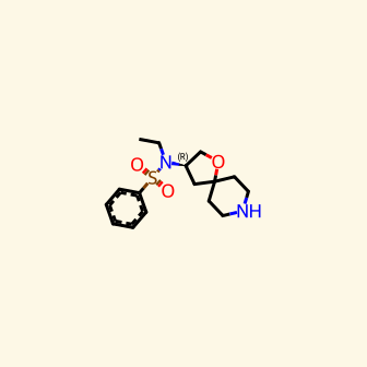 CCN([C@H]1COC2(CCNCC2)C1)S(=O)(=O)c1ccccc1